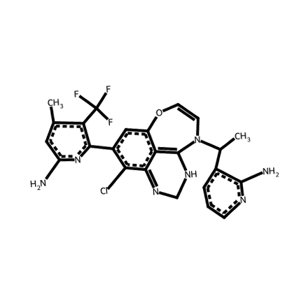 Cc1cc(N)nc(-c2cc3c4c(c2Cl)=NCNC=4N(C(C)c2cccnc2N)C=CO3)c1C(F)(F)F